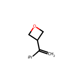 C=C(C(C)C)C1COC1